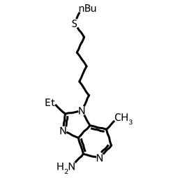 CCCCSCCCCCn1c(CC)nc2c(N)ncc(C)c21